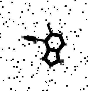 Cc1ccc2[nH][c]nc2c1C#N